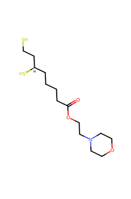 O=C(CCCC[C@@H](S)CCS)OCCN1CCOCC1